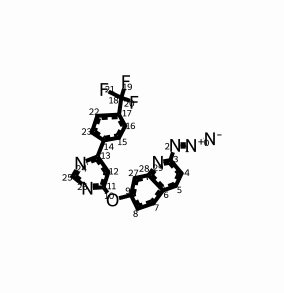 [N-]=[N+]=Nc1ccc2ccc(Oc3cc(-c4ccc(C(F)(F)F)cc4)ncn3)cc2n1